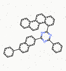 c1ccc(-c2ccc3cc(-c4nc(-c5ccccc5)nc(-c5cccc6ccc7c8ccccc8ccc7c56)n4)ccc3c2)cc1